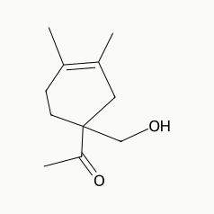 CC(=O)C1(CO)CCC(C)=C(C)C1